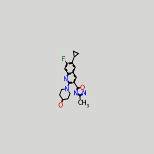 Cc1noc(-c2cc3cc(C4CC4)c(F)cc3nc2N2CCC(=O)CC2)n1